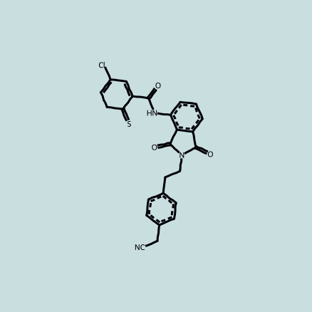 N#CCc1ccc(CCN2C(=O)c3cccc(NC(=O)C4=CC(Cl)=CCC4=S)c3C2=O)cc1